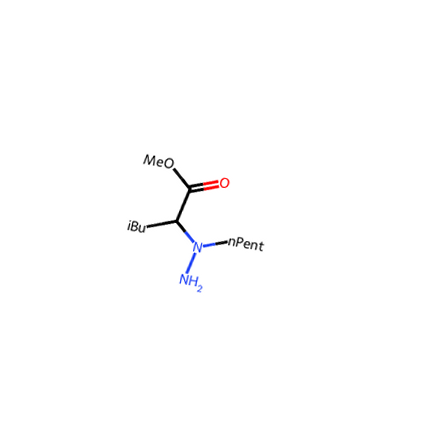 CCCCCN(N)C(C(=O)OC)C(C)CC